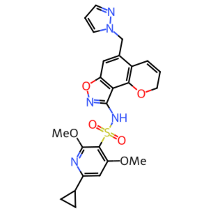 COc1cc(C2CC2)nc(OC)c1S(=O)(=O)Nc1noc2cc(Cn3cccn3)c3c(c12)OCC=C3